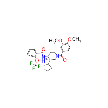 COc1ccc(C(=O)N2CC[C@H](NC(=O)c3ccccc3OC(F)(F)F)C(C3CCCC3)C2)cc1OC